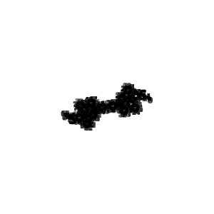 C=CCSc1ccc(C2(c3ccc4ccccc4c3)c3ccccc3-c3ccc(N(c4ccccc4)c4ccc(-c5ccc(N(c6ccccc6)c6ccc7c(c6)C(c6ccc(SCC=C)cc6)(c6ccc8ccccc8c6)c6ccccc6-7)cc5)cc4)cc32)cc1